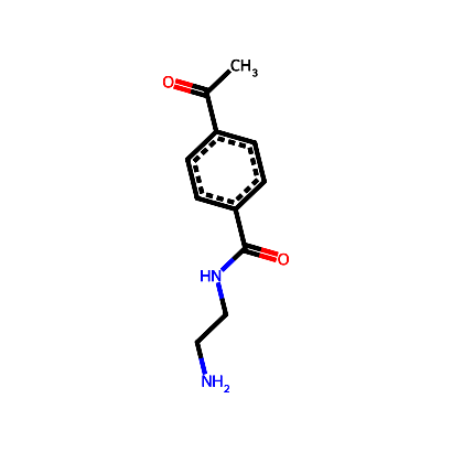 CC(=O)c1ccc(C(=O)NCCN)cc1